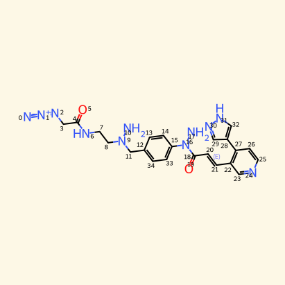 [N-]=[N+]=NCC(=O)NCCN(N)Cc1ccc(N(N)C(=O)/C=C/c2cnccc2-c2cn[nH]c2)cc1